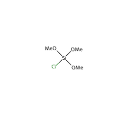 CO[Si](Cl)(OC)OC